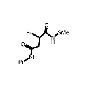 CSNC(=O)C(CC(=O)NC(C)C)C(C)C